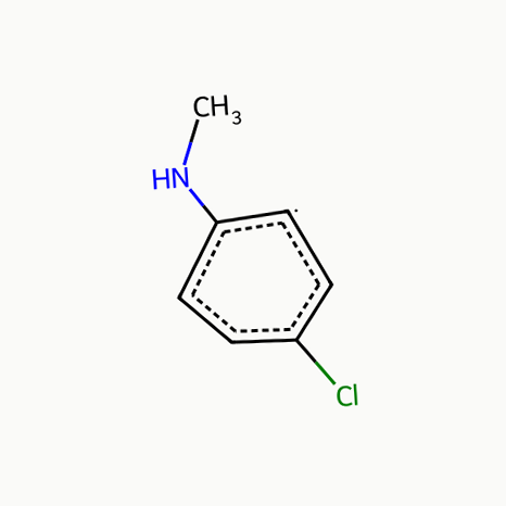 CNc1[c]cc(Cl)cc1